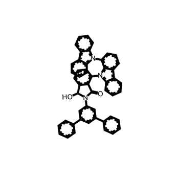 O=C1c2c(cccc2-n2c3ccccc3c3cccc(-n4c5ccccc5c5ccccc54)c32)C(O)N1c1cc(-c2ccccc2)cc(-c2ccccc2)c1